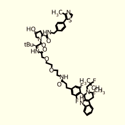 Cc1ncsc1-c1ccc(CNC(=O)[C@@H]2C[C@@H](O)CN2C(=O)[C@@H](NC(=O)COCCOCCNC(=O)CCc2cc(F)c([C@@H]3c4[nH]c5ccccc5c4C[C@@H](C)N3CC(C)(C)F)c(F)c2)C(C)(C)C)cc1